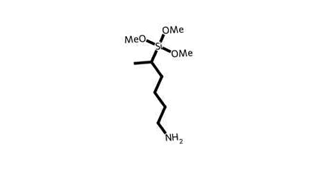 CO[Si](OC)(OC)C(C)CCCCN